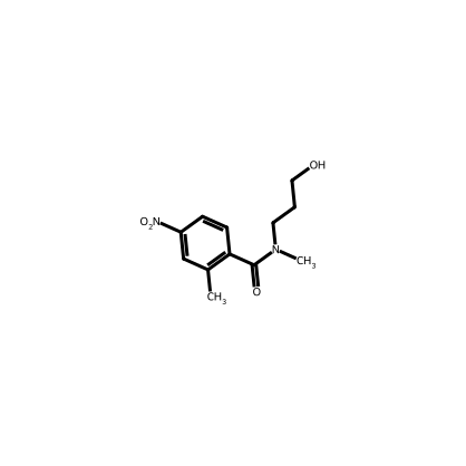 Cc1cc([N+](=O)[O-])ccc1C(=O)N(C)CCCO